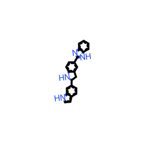 c1ccc2[nH]c(-c3ccc4c(c3)CC(c3ccc5cc[nH]c5c3)N4)nc2c1